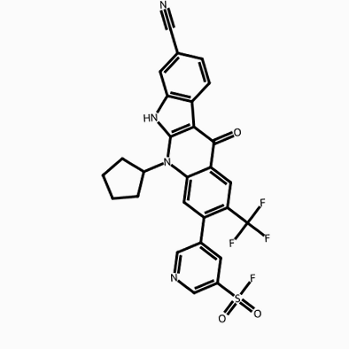 N#Cc1ccc2c(c1)[nH]c1c2c(=O)c2cc(C(F)(F)F)c(-c3cncc(S(=O)(=O)F)c3)cc2n1C1CCCC1